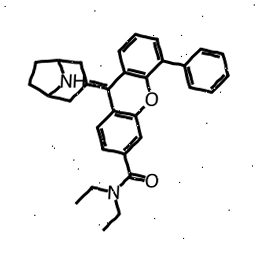 CCN(CC)C(=O)c1ccc2c(c1)Oc1c(cccc1-c1ccccc1)C2=C1CC2CCC(C1)N2